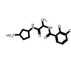 CC(NC(=O)c1cccc(Cl)c1Cl)C(=O)NC1CCC(C(=O)O)C1